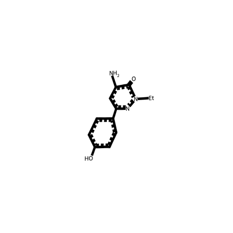 CCn1nc(-c2ccc(O)cc2)cc(N)c1=O